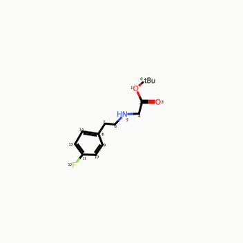 CC(C)(C)OC(=O)CNCCc1ccc(F)cc1